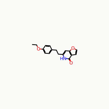 CCOc1ccc(CCc2cc3occc3c(=O)[nH]2)cc1